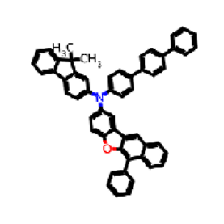 CC1(C)c2ccccc2-c2ccc(N(c3ccc(-c4ccc(-c5ccccc5)cc4)cc3)c3ccc4oc5c(-c6ccccc6)c6ccccc6cc5c4c3)cc21